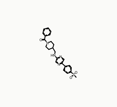 CS(=O)(=O)c1ccc(-c2cnc(NCC3CCN(C(=O)c4ccccc4)CC3)cn2)cc1